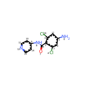 Nc1cc(Cl)c(C(=O)Nc2ccncc2)c(Cl)c1